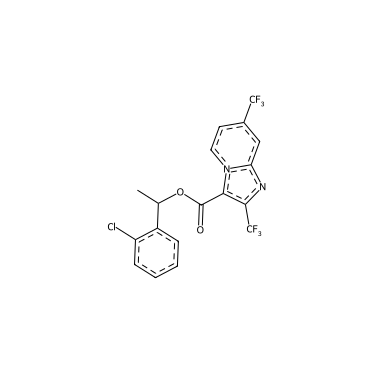 CC(OC(=O)c1c(C(F)(F)F)nc2cc(C(F)(F)F)ccn12)c1ccccc1Cl